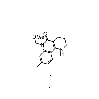 COCn1c(=O)c2c(c3ccc(C)cc31)NCCC2